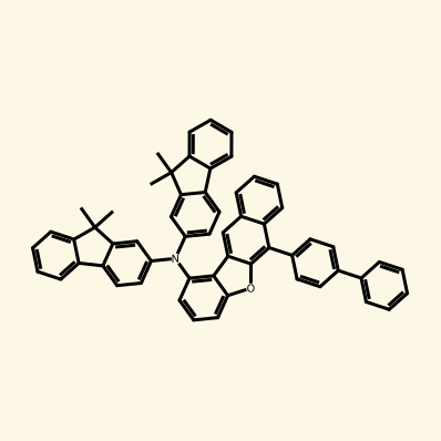 CC1(C)c2ccccc2-c2ccc(N(c3ccc4c(c3)C(C)(C)c3ccccc3-4)c3cccc4oc5c(-c6ccc(-c7ccccc7)cc6)c6ccccc6cc5c34)cc21